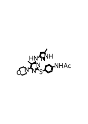 CC(=O)Nc1ccc(Sc2nc(Nc3cc(C)[nH]n3)c(C)c(N3CCOCC3)n2)cc1